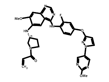 C=CC(=O)N1CC[C@@H](Nc2cc3c(Nc4ccc(Oc5ccn(-c6cnc(OC)nc6)n5)cc4F)ncnc3cc2OC)C1